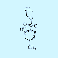 CCOS(=O)(=O)c1ccc(C)cc1.N